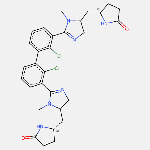 CN1C(c2cccc(-c3cccc(C4=NCC(C[C@@H]5CCC(=O)N5)N4C)c3Cl)c2Cl)=NCC1C[C@@H]1CCC(=O)N1